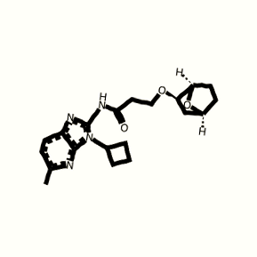 Cc1ccc2nc(NC(=O)CCO[C@@H]3C[C@@H]4CC[C@H]3O4)n(C3CCC3)c2n1